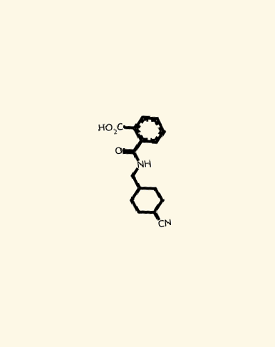 N#CC1CCC(CNC(=O)c2ccccc2C(=O)O)CC1